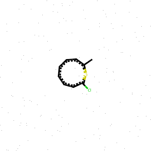 Cc1ccccccc(Cl)s1